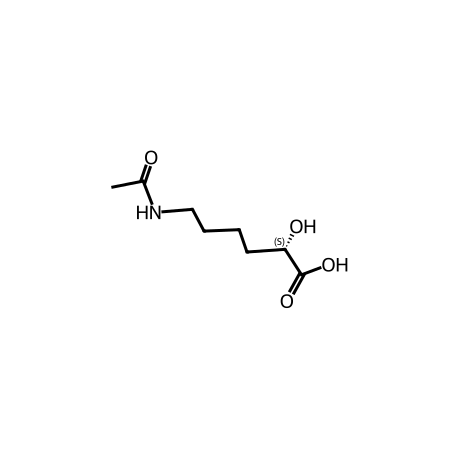 CC(=O)NCCCC[C@H](O)C(=O)O